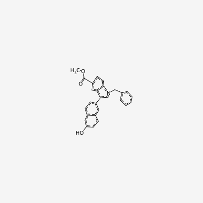 COC(=O)c1ccc2c(c1)c(-c1ccc3cc(O)ccc3c1)cn2Cc1ccccc1